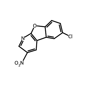 O=[N+]([O-])c1cnc2oc3ccc(Cl)cc3c2c1